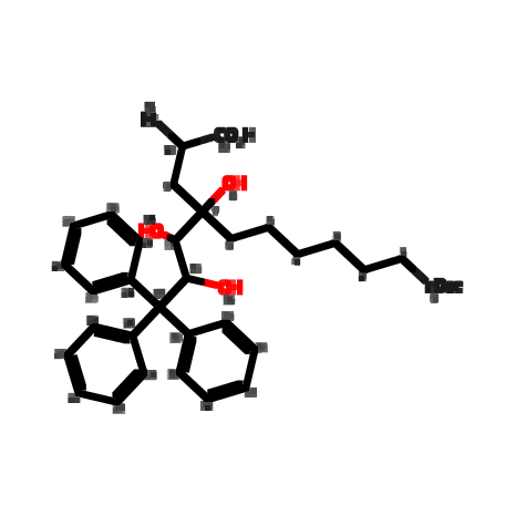 CCCCCCCCCCCCCCCCC(O)(CC(CC)C(=O)O)C(O)C(O)C(c1ccccc1)(c1ccccc1)c1ccccc1